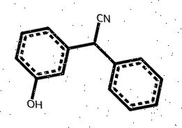 N#CC(c1ccccc1)c1cccc(O)c1